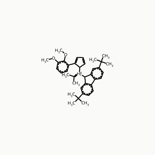 COc1cccc(C2=CC=C[CH]2[Hf](=[C](C)C)[CH]2c3cc(C(C)(C)C)ccc3-c3ccc(C(C)(C)C)cc32)c1OC